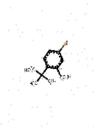 CC(C)(C(=O)O)c1ccc(Br)cc1C(=O)O